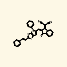 N#CC(C#N)=C1/C(=C/c2cc3sc(/C=C/c4ccccc4)nc3n2-c2ccccc2)C(=O)c2ccccc21